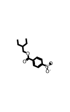 CCC(CC)COC(=O)c1ccc([N+](=O)[O-])cc1